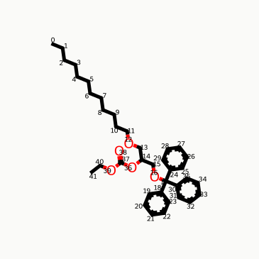 CCCCCCCCCCCCOCC(COC(c1ccccc1)(c1ccccc1)c1ccccc1)OC(=O)OCC